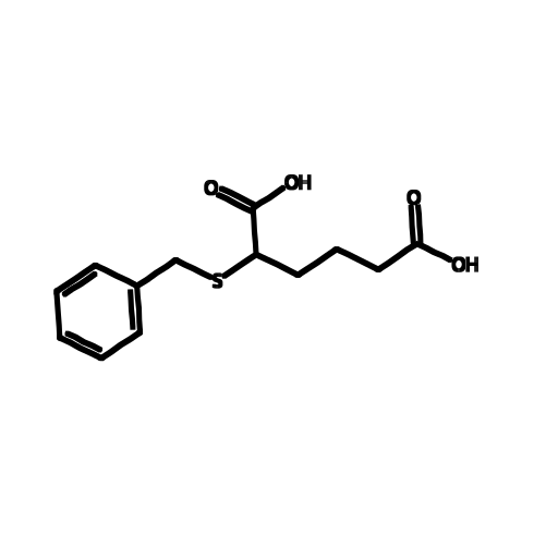 O=C(O)CCCC(SCc1ccccc1)C(=O)O